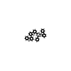 c1ccc(C2=NC(c3cccc4c3oc3c(-c5cccc6oc7ccccc7c56)cccc34)=NC(n3c4ccccc4c4ccccc43)N2)cc1